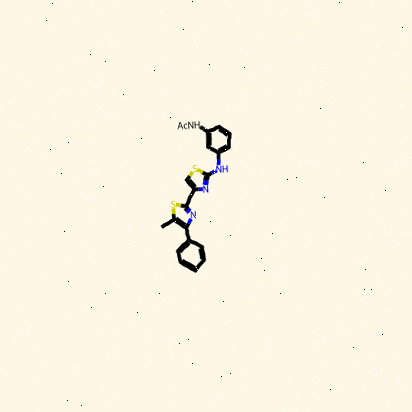 CC(=O)Nc1cccc(Nc2nc(-c3nc(-c4ccccc4)c(C)s3)cs2)c1